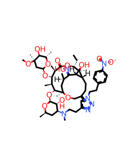 C=C1CC[C@@H]2[C@@H](C)/C(=N/O)[C@H](C)C[C@@](C)(OC1)[C@H](O[C@@H]1O[C@H](C)C[C@H](N(C)CCc3cn(CCc4ccc([N+](=O)[O-])cc4)nn3)[C@H]1O)[C@@H](C)[C@H](O[C@H]1C[C@@](C)(OC)[C@@H](O)[C@H](C)O1)[C@@H](C)C(=O)O[C@H](CC)[C@@]2(C)O